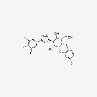 OCC1O[C@H](Sc2cc(Br)ccc2F)C(O)[C@@H](n2cc(-c3cc(F)c(F)c(F)c3)nn2)[C@H]1O